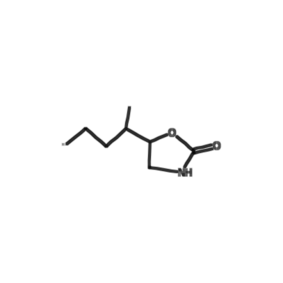 [CH2]CCC(C)C1CNC(=O)O1